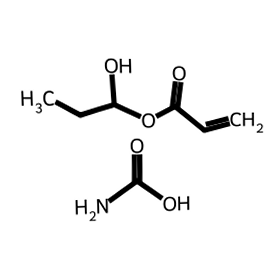 C=CC(=O)OC(O)CC.NC(=O)O